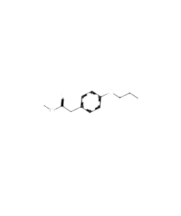 [CH2]CCOc1ccc(CC(=O)OC)cc1